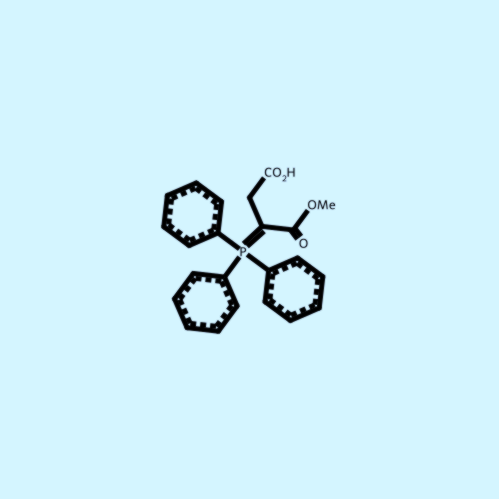 COC(=O)C(CC(=O)O)=P(c1ccccc1)(c1ccccc1)c1ccccc1